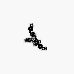 Cl.Cl.N#Cc1ccc(NC(=O)NCCCN2CCN(Cc3ccc(Cl)cc3)CC2)cc1.O